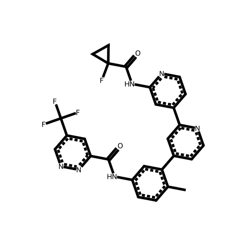 Cc1ccc(NC(=O)c2cc(C(F)(F)F)cnn2)cc1-c1ccnc(-c2ccnc(NC(=O)C3(F)CC3)c2)c1